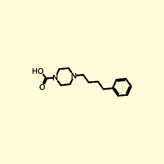 O=C(O)N1CCN(CCCCc2ccccc2)CC1